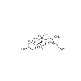 CC(C)CCC[C@@H](C)[C@H]1CC[C@H]2[C@@H]3CC[C@@H]4C[C@H](O)CC[C@]4(C)[C@H]3CC[C@]12C